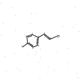 Cc1ccc(C=CC(C)C)cc1